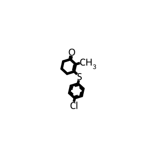 CC1=C(Sc2ccc(Cl)cc2)CCCC1=O